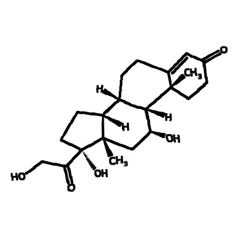 C[C@]12CCC(=O)C=C1CC[C@@H]1[C@H]2[C@@H](O)C[C@@]2(C)[C@@H]1CC[C@]2(O)C(=O)CO